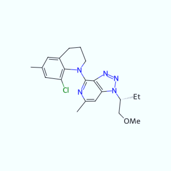 CC[C@H](COC)n1nnc2c(N3CCCc4cc(C)cc(Cl)c43)nc(C)cc21